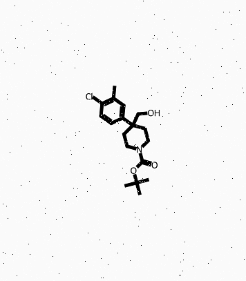 Cc1cc(C2(CO)CCN(C(=O)OC(C)(C)C)CC2)ccc1Cl